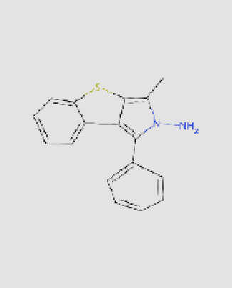 Cc1c2sc3ccccc3c2c(-c2ccccc2)n1N